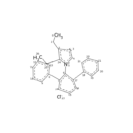 CCc1sc[n+](-c2c(-c3ccccc3)cccc2-c2ccccc2)c1CC.[Cl-]